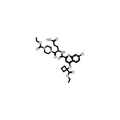 CCOC(=O)N1CCN(C(=O)C(CCC(=O)O)NC(=O)c2cc(OC3(C(=O)OCC)CCC3)c3ccc(Cl)cc3n2)CC1